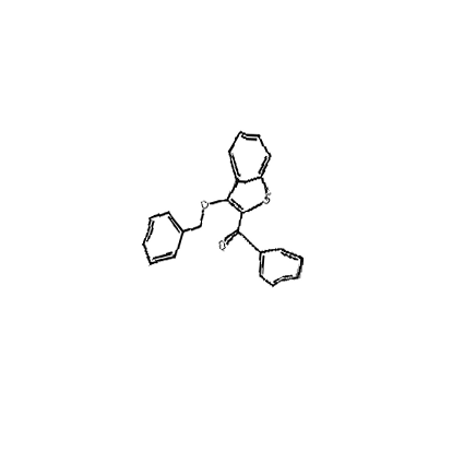 O=C(c1ccccc1)c1sc2ccccc2c1OCc1ccccc1